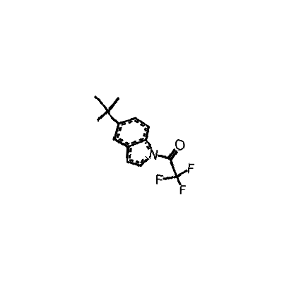 CC(C)(C)c1ccc2c(ccn2C(=O)C(F)(F)F)c1